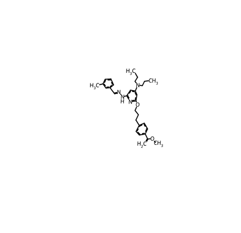 C=C(OC)c1ccc(CCCOc2cc(N(CCC)CCC)cc(N/N=C/c3cccc(C)c3)n2)cc1